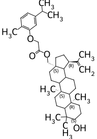 C=C(C)[C@@H]1CC[C@]2(COC(=O)COc3cc(C(C)C)ccc3C)CCC3C(CCC4[C@@]3(C)CCC3C(C)(C)[C@@H](O)CC[C@@]34C)C12